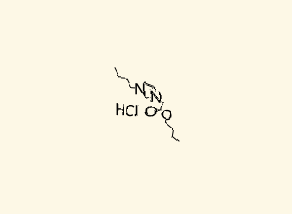 CCCCOC(=O)CN1C=CN(CCCC)C1.Cl